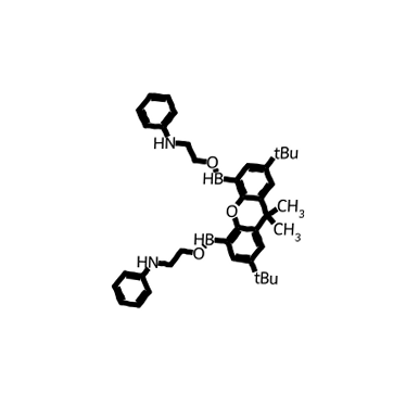 CC(C)(C)c1cc(BOCCNc2ccccc2)c2c(c1)C(C)(C)c1cc(C(C)(C)C)cc(BOCCNc3ccccc3)c1O2